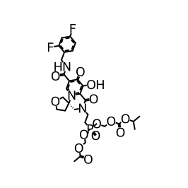 CC(=O)OCOP(=O)(CCN1C[C@@]2(CCOC2)n2cc(C(=O)NCc3ccc(F)cc3F)c(=O)c(O)c2C1=O)OCOC(=O)OC(C)C